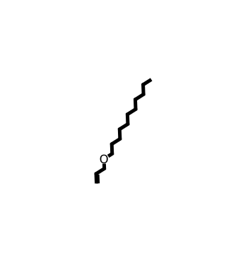 C=CCOCCCCCCCCCCC